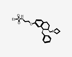 CCS(=O)(=O)NCCOc1ccc2c(c1)[C@H](Cc1ccccc1)[C@H](CN1CCC1)CC2